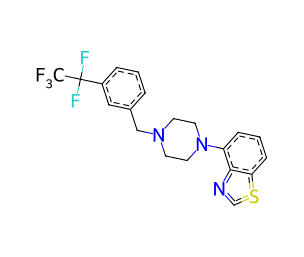 FC(F)(F)C(F)(F)c1cccc(CN2CCN(c3cccc4scnc34)CC2)c1